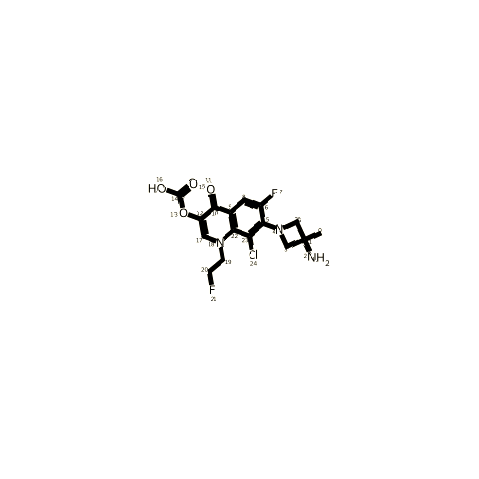 CC1(N)CN(c2c(F)cc3c(=O)c(OC(=O)O)cn(CCF)c3c2Cl)C1